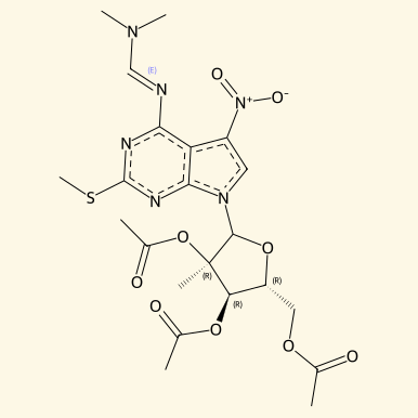 CSc1nc(/N=C/N(C)C)c2c([N+](=O)[O-])cn(C3O[C@H](COC(C)=O)[C@@H](OC(C)=O)[C@@]3(C)OC(C)=O)c2n1